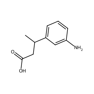 CC(CC(=O)O)c1cccc(N)c1